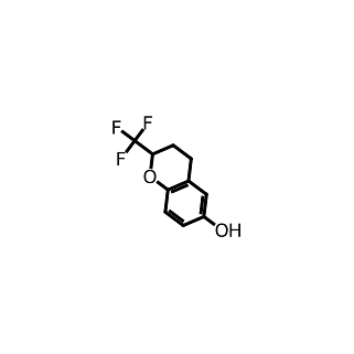 Oc1ccc2c(c1)CCC(C(F)(F)F)O2